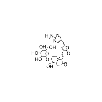 C[C@]12CC[C@@H](OC3OC(CO)C(O)C(O)C3O)[C@@](C)(CO)C1CCC1(CO1)C2/C=C/C1=CC(=C\c2cnc(N)nc2)/OC1=O